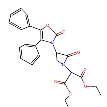 CCOC(=O)C(C(=O)OCC)N1CC(n2c(-c3ccccc3)c(-c3ccccc3)oc2=O)C1=O